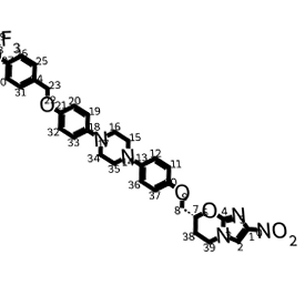 O=[N+]([O-])c1cn2c(n1)O[C@@H](COc1ccc(N3CCN(c4ccc(OCc5ccc(OC(F)(F)F)cc5)cc4)CC3)cc1)CC2